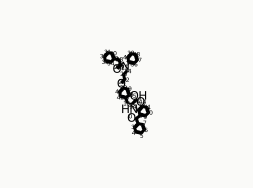 O=C(c1ccccc1)c1ccccc1N[C@@H](Cc1ccc(OCCCN(C(=O)Cc2ccccc2)c2ccccc2)cc1)C(=O)O